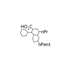 CCCCCC1CCC2C(C1)C(CCC)CC(C(=O)O)C2C1CCCCC1